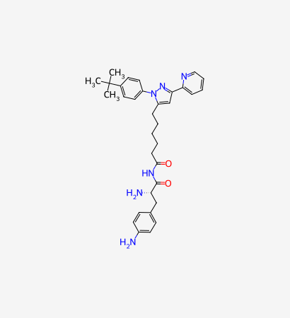 CC(C)(C)c1ccc(-n2nc(-c3ccccn3)cc2CCCCCC(=O)NC(=O)[C@@H](N)Cc2ccc(N)cc2)cc1